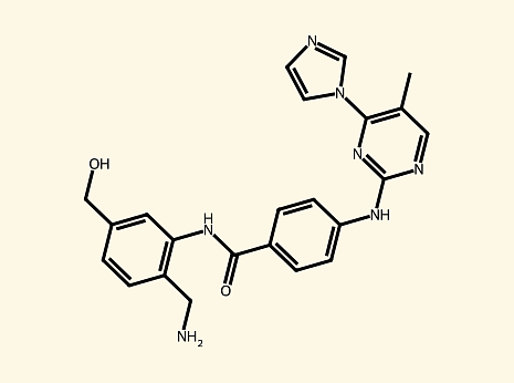 Cc1cnc(Nc2ccc(C(=O)Nc3cc(CO)ccc3CN)cc2)nc1-n1ccnc1